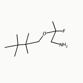 CC(F)(CN)OCC(C)(C)C(C)(C)C